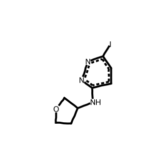 Ic1ccc(NC2CCOC2)nn1